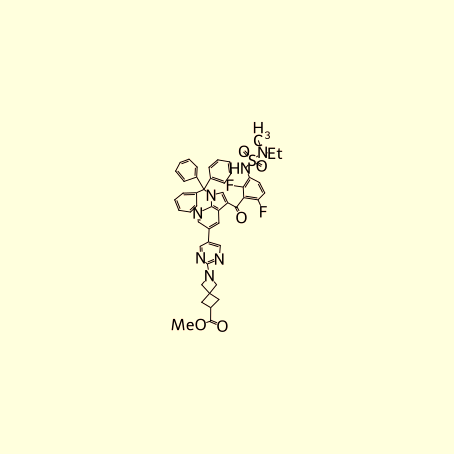 CCN(C)S(=O)(=O)Nc1ccc(F)c(C(=O)c2cn(C(c3ccccc3)(c3ccccc3)c3ccccc3)c3ncc(-c4cnc(N5CC6(CC(C(=O)OC)C6)C5)nc4)cc23)c1F